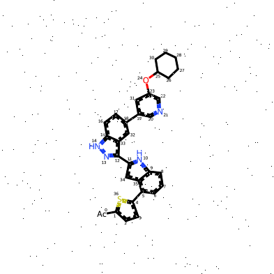 CC(=O)c1ccc(-c2cccc3[nH]c(-c4n[nH]c5ccc(-c6cncc(OC7CCCCC7)c6)cc45)cc23)s1